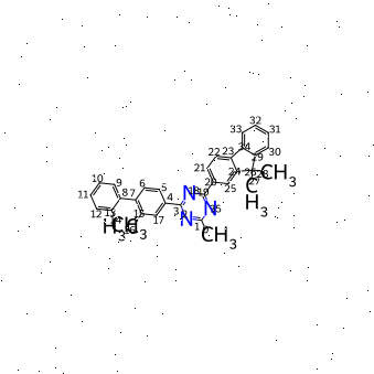 Cc1nc(-c2ccc(-c3ccccc3C)c(C)c2)nc(-c2ccc3c(c2)C(C)(C)c2ccccc2-3)n1